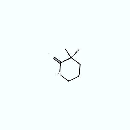 [CH2]C1(C)CCCNC1=O